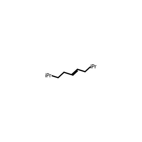 CC(C)CC=CCCC(C)C